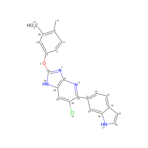 Cc1ccc(Oc2nc3nc(-c4ccc5cc[nH]c5c4)c(Cl)cc3[nH]2)cc1C(=O)O